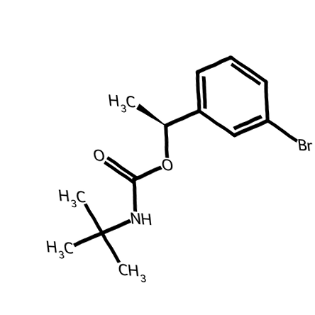 C[C@H](OC(=O)NC(C)(C)C)c1cccc(Br)c1